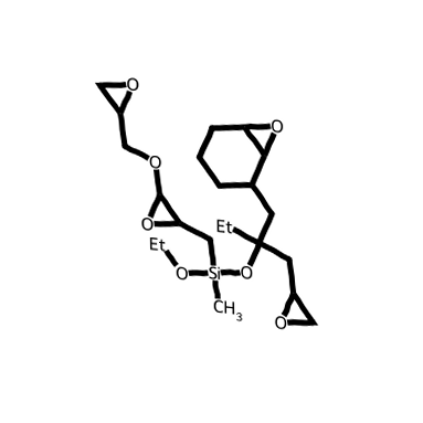 CCO[Si](C)(CC1OC1OCC1CO1)OC(CC)(CC1CO1)CC1CCCC2OC12